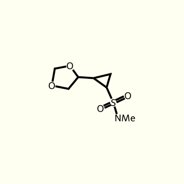 CNS(=O)(=O)C1CC1C1COCO1